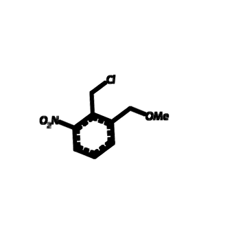 COCc1cccc([N+](=O)[O-])c1CCl